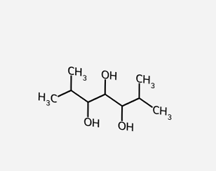 CC(C)C(O)C(O)C(O)C(C)C